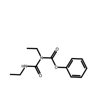 CCNC(=O)N(CC)C(=O)Oc1ccccc1